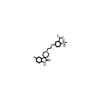 Cc1ccc2c(c1)C1(CCN(CCOc3ccc(S(C)(=O)=O)c(C(F)F)c3)CC1)C(=O)N2